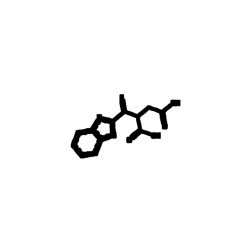 O=C(O)CC(C(=O)O)C(=S)c1nc2ccccc2s1